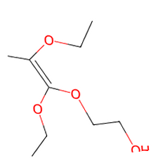 CCOC(C)=C(OCC)OCCO